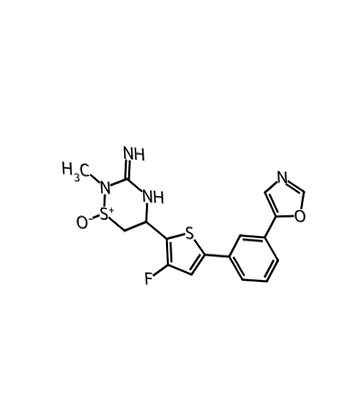 CN1C(=N)NC(c2sc(-c3cccc(-c4cnco4)c3)cc2F)C[S+]1[O-]